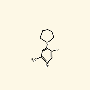 Cc1cc(N2CCCCC2)c(Br)c[n+]1[O-]